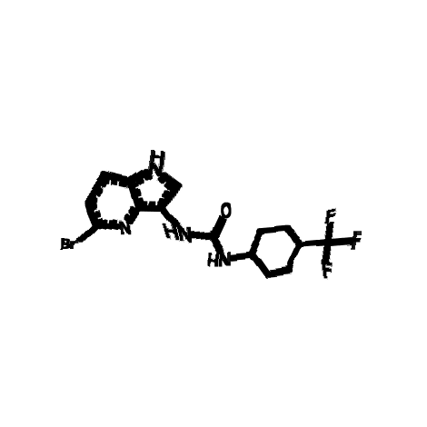 O=C(Nc1c[nH]c2ccc(Br)nc12)NC1CCC(C(F)(F)F)CC1